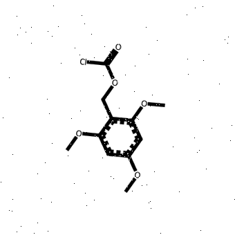 COc1cc(OC)c(COC(=O)Cl)c(OC)c1